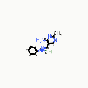 Cc1ncc(C=NNc2ccccc2)c(N)n1.Cl